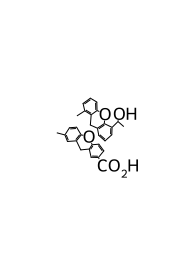 Cc1ccc2c(c1)Cc1cc(C(=O)O)ccc1O2.Cc1cccc2c1Cc1cccc(C(C)O)c1O2